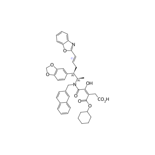 C[C@H]([C@H](C/C=C/c1nc2ccccc2o1)c1ccc2c(c1)OCO2)N(Cc1ccc2ccccc2c1)C(=O)C(O)=C(CC(=O)O)C(=O)OC1CCCCC1